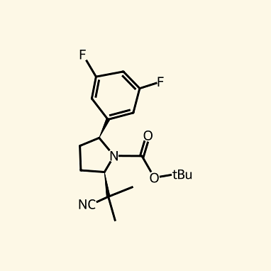 CC(C)(C)OC(=O)N1[C@H](c2cc(F)cc(F)c2)CC[C@@H]1C(C)(C)C#N